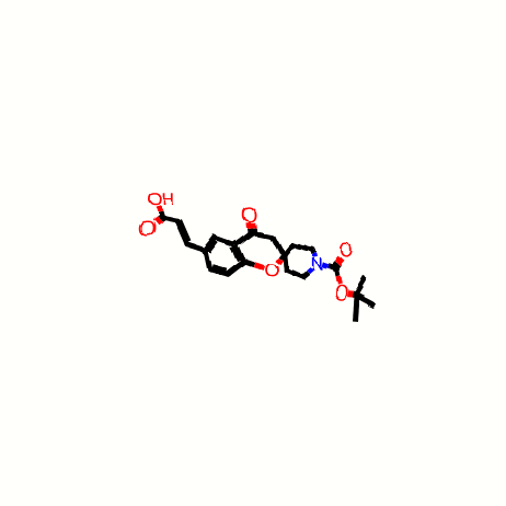 CC(C)(C)OC(=O)N1CCC2(CC1)CC(=O)c1cc(C=CC(=O)O)ccc1O2